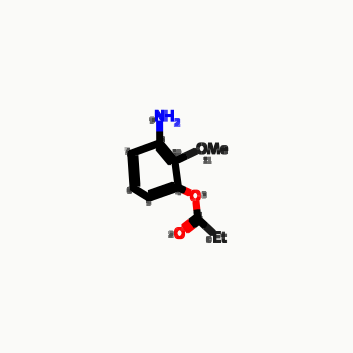 CCC(=O)Oc1cccc(N)c1OC